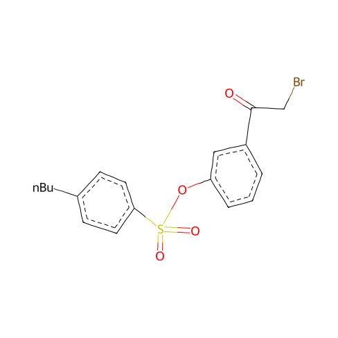 CCCCc1ccc(S(=O)(=O)Oc2cccc(C(=O)CBr)c2)cc1